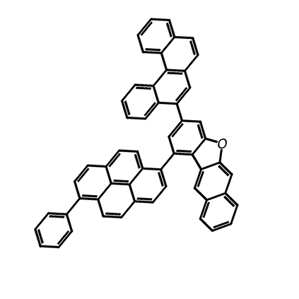 c1ccc(-c2ccc3ccc4c(-c5cc(-c6cc7ccc8ccccc8c7c7ccccc67)cc6oc7cc8ccccc8cc7c56)ccc5ccc2c3c54)cc1